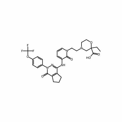 CCC1(C(=O)O)CN(CCn2cccc(Nc3nn(-c4ccc(OC(F)(F)F)cc4)c(=O)c4c3CCC4)c2=O)CCO1